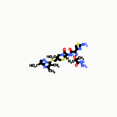 Cc1nc2c(C(=O)O)cnn2c(SCC2(C(=O)O)CS[C@@H]3C(NC(=O)C(=NOC(C)(C)C(=O)NN)c4csc(N)n4)C(=O)N3C2)c1C